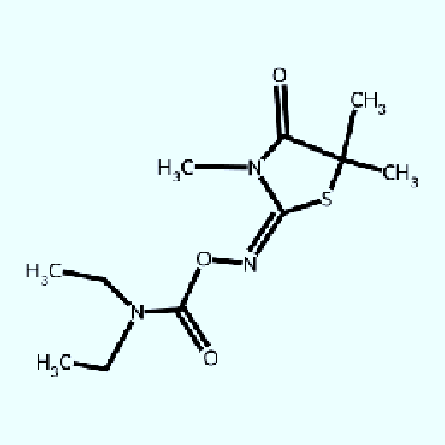 CCN(CC)C(=O)ON=C1SC(C)(C)C(=O)N1C